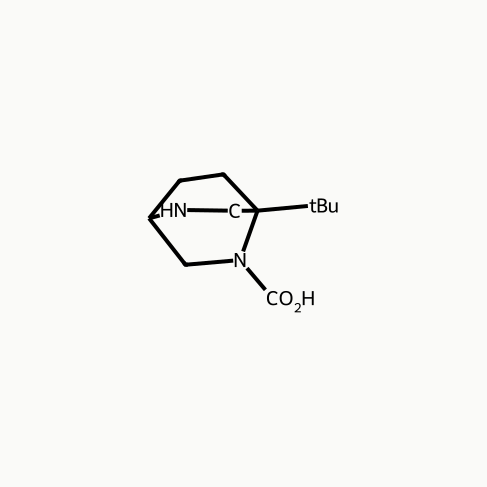 CC(C)(C)C12CCC(CN1C(=O)O)NC2